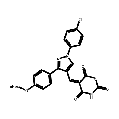 CCCCCCOc1ccc(-c2nn(-c3ccc(Cl)cc3)cc2C=C2C(=O)NC(=O)NC2=O)cc1